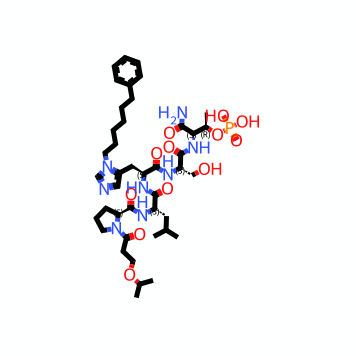 CC(C)C[C@H](NC(=O)[C@@H]1CCCN1C(=O)CCOC(C)C)C(=O)N[C@@H](Cc1cncn1CCCCCCc1ccccc1)C(=O)N[C@@H](CO)C(=O)N[C@H](C(N)=O)[C@@H](C)OP(=O)(O)O